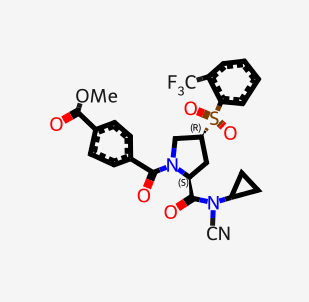 COC(=O)c1ccc(C(=O)N2C[C@H](S(=O)(=O)c3ccccc3C(F)(F)F)C[C@H]2C(=O)N(C#N)C2CC2)cc1